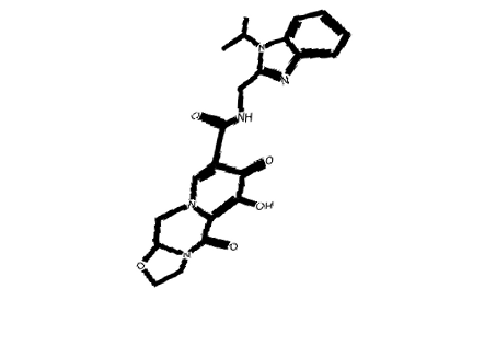 CC(C)n1c(CNC(=O)c2cn3c(c(O)c2=O)C(=O)N2CCOC2C3)nc2ccccc21